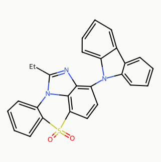 CCc1nc2c(-n3c4ccccc4c4ccccc43)ccc3c2n1-c1ccccc1S3(=O)=O